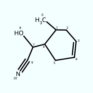 CC1CC=CCC1C(O)C#N